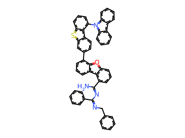 N/C(=N\C(=N/Cc1ccccc1)c1ccccc1)c1cccc2oc3c(-c4ccc5c(c4)sc4cccc(-n6c7ccccc7c7ccccc76)c45)cccc3c12